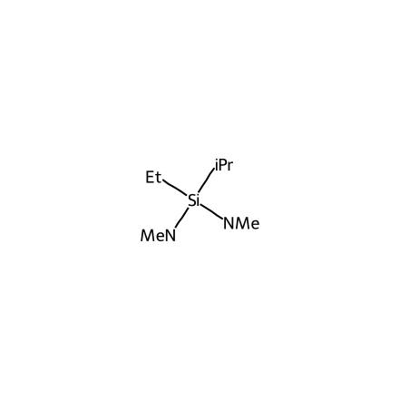 CC[Si](NC)(NC)C(C)C